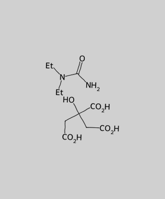 CCN(CC)C(N)=O.O=C(O)CC(O)(CC(=O)O)C(=O)O